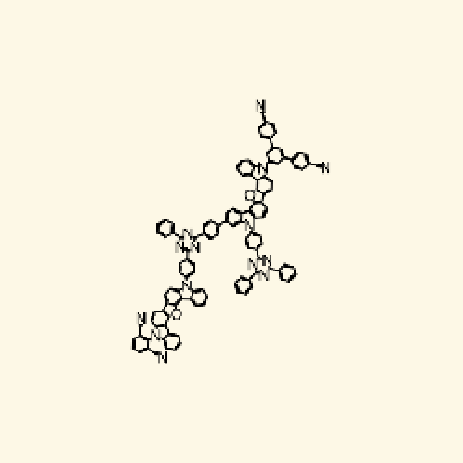 N#Cc1ccc(-c2cc(-c3ccc(C#N)cc3)cc(-n3c4ccccc4c4c5oc6c(ccc7c6c6ccc(-c8ccc(-c9nc(-c%10ccccc%10)nc(-c%10ccc(-n%11c%12ccccc%12c%12c%13oc%14c(ccc%15c%14c%14ccccc%14n%15-c%14c(C#N)cccc%14C#N)c%13ccc%12%11)cc%10)n9)cc8)cc6n7-c6ccc(-c7nc(-c8ccccc8)nc(-c8ccccc8)n7)cc6)c5ccc43)c2)cc1